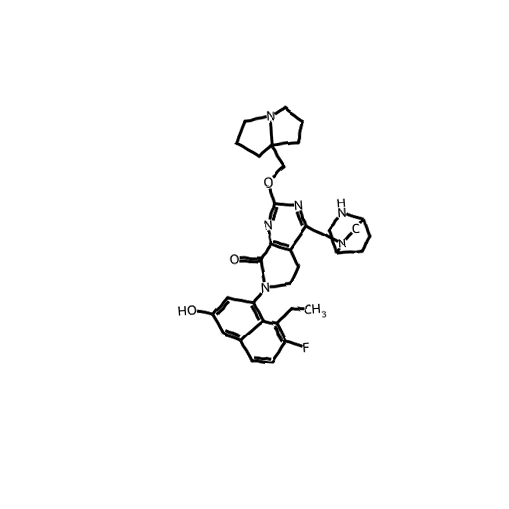 CCc1c(F)ccc2cc(O)cc(N3CCc4c(nc(OCC56CCCN5CCC6)nc4N4CC5CCC4CN5)C3=O)c12